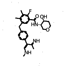 CN/C=C(\C(C)=N)c1ccc(Cc2cc(C(=O)N[C@H]3COCC[C@@H]3O)c(F)c(C)c2C)cc1